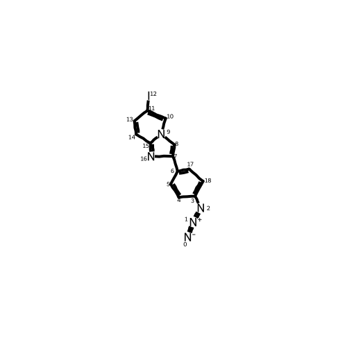 [N-]=[N+]=Nc1ccc(-c2cn3cc(I)ccc3n2)cc1